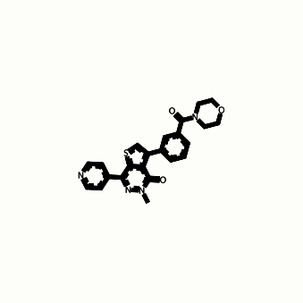 Cn1nc(-c2ccncc2)c2scc(-c3cccc(C(=O)N4CCOCC4)c3)c2c1=O